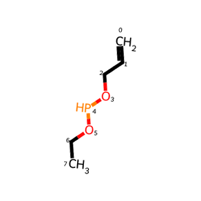 C=CCOPOCC